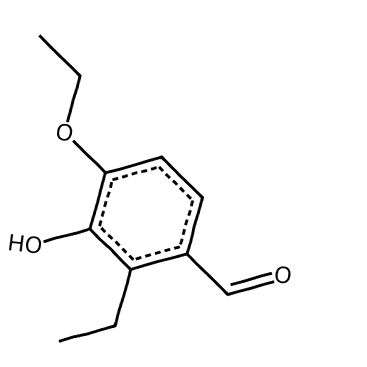 CCOc1ccc(C=O)c(CC)c1O